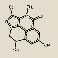 CCc1nn2c3c4c(cc(C)cc4c(=O)n(C)c13)C(O)C2